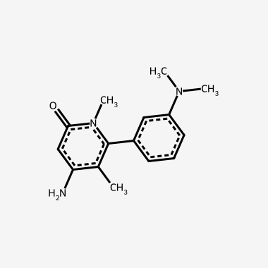 Cc1c(N)cc(=O)n(C)c1-c1cccc(N(C)C)c1